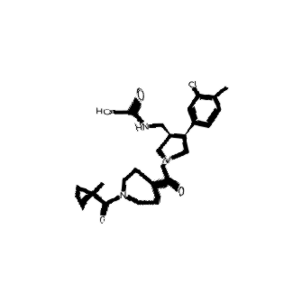 Cc1ccc([C@H]2CN(C(=O)C3CCN(C(=O)C4(C)CC4)CC3)C[C@H]2CNC(=O)O)cc1Cl